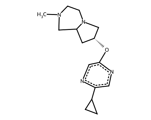 CN1CCN2C[C@H](Oc3cnc(C4CC4)cn3)CC2C1